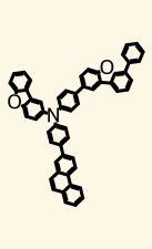 c1ccc(-c2cccc3c2oc2ccc(-c4ccc(N(c5ccc(-c6ccc7c(ccc8ccccc87)c6)cc5)c5ccc6oc7ccccc7c6c5)cc4)cc23)cc1